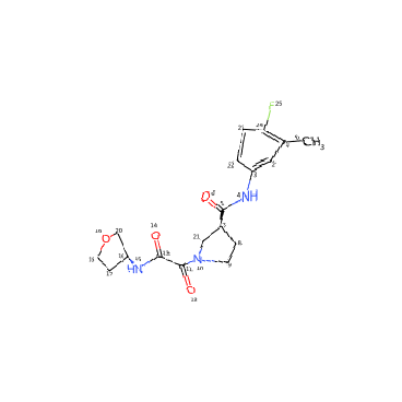 Cc1cc(NC(=O)[C@H]2CCN(C(=O)C(=O)N[C@H]3CCOC3)C2)ccc1F